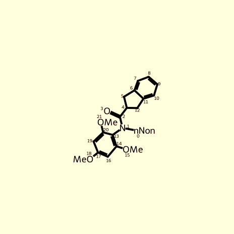 CCCCCCCCCN(C(=O)C1Cc2ccccc2C1)c1c(OC)cc(OC)cc1OC